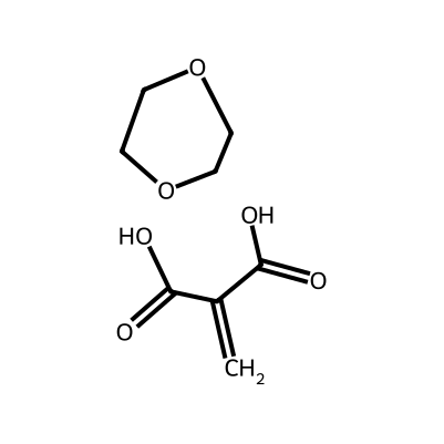 C1COCCO1.C=C(C(=O)O)C(=O)O